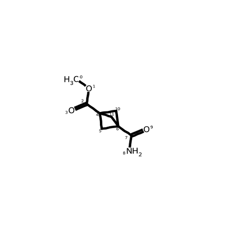 COC(=O)C12CC(C(N)=O)(C1)C2